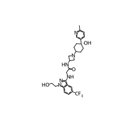 Cc1ccc([C@]2(O)CC[C@H](N3CC(NC(=O)CNc4nn(CCO)c5ccc(C(F)(F)F)cc45)C3)CC2)cn1